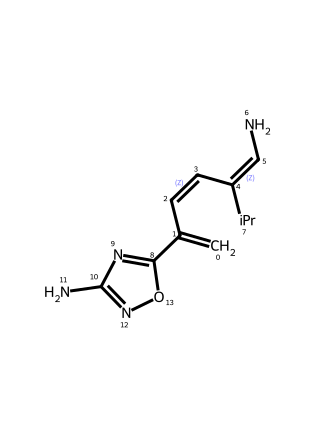 C=C(/C=C\C(=C/N)C(C)C)c1nc(N)no1